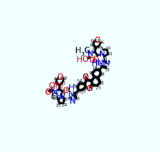 CN(C(=O)O)C(C(=O)N1CCC[C@H]1c1ncc(-c2ccc3c(ccc4oc5cc(-c6cnc([C@@H]7CCCN7C(=O)C(C7CCOCC7)N(C)C(=O)O)[nH]6)ccc5c(=O)c43)c2)[nH]1)C1CCOCC1